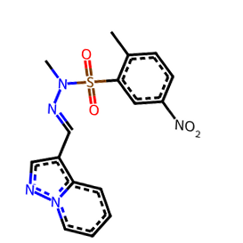 Cc1ccc([N+](=O)[O-])cc1S(=O)(=O)N(C)N=Cc1cnn2ccccc12